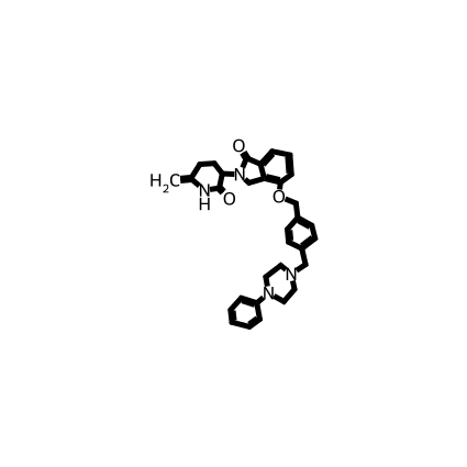 C=C1CCC(N2Cc3c(OCc4ccc(CN5CCN(c6ccccc6)CC5)cc4)cccc3C2=O)C(=O)N1